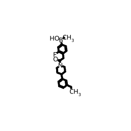 CCc1cccc(C2CCN(C(=O)Cc3ccc(B(C)O)cc3F)CC2)c1